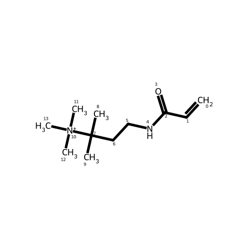 C=CC(=O)NCCC(C)(C)[N+](C)(C)C